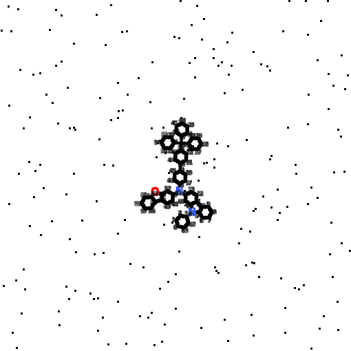 c1ccc(-n2c3ccccc3c3ccc(N(c4ccc(-c5ccc(C(c6ccccc6)(c6ccccc6)c6ccccc6)cc5)cc4)c4ccc5c(c4)oc4ccccc45)cc32)cc1